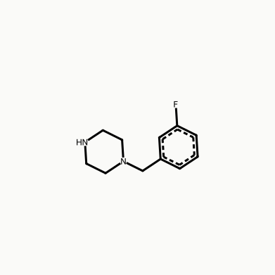 Fc1cccc(CN2CCNCC2)c1